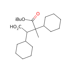 CC(C)COC(=O)C(C)(C1CCCCC1)C(C(=O)O)C1CCCCC1